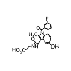 Cc1c(CC(=O)NCCC(=O)O)c2cc(O)ccc2n1C(=O)c1cccc(F)c1